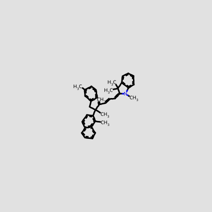 C=C(/C=C/C=C1/N(C)c2ccccc2C1(C)C)C(C)(Cc1cccc(C)c1)c1ccc2ccccc2c1C